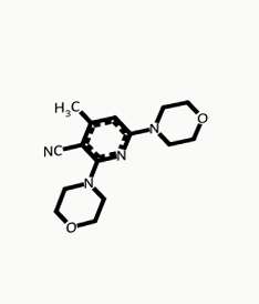 Cc1cc(N2CCOCC2)nc(N2CCOCC2)c1C#N